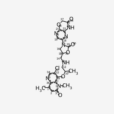 Cc1cc(=O)n(C)c2c(OC(C)CNC[C@H]3CN(c4cnc5c(n4)NC(=O)CO5)C(=O)O3)c(Cl)cnc12